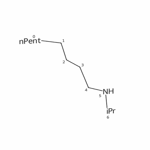 CCCCCCCCCNC(C)C